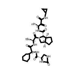 CCC[C@H](NC(=O)[C@@H]1[C@H]2CCC[C@H]2CN1C(=O)[C@@H](NC(=O)[C@@H](NC(=O)[C@@H]1CNC(=O)N1)C1CCCCC1)C(C)(C)C)C(=O)C(=O)NC1CC1